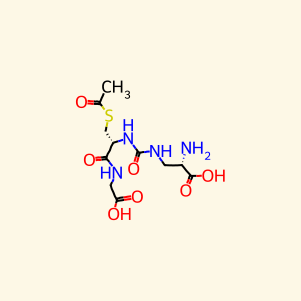 CC(=O)SC[C@H](NC(=O)NC[C@H](N)C(=O)O)C(=O)NCC(=O)O